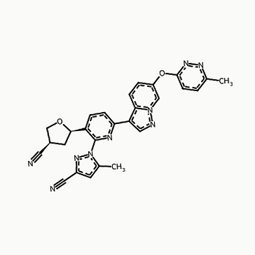 Cc1ccc(Oc2ccc3c(-c4ccc([C@H]5C[C@@H](C#N)CO5)c(-n5nc(C#N)cc5C)n4)cnn3c2)nn1